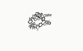 COc1cc(P)c(-c2ccccc2C=O)cc1C(=O)N(C)[C@H]1[C@@H](C(=O)Nc2cccc(S(=O)(=O)C(C)(F)P)c2)[C@H]2C=C[C@H]1C2